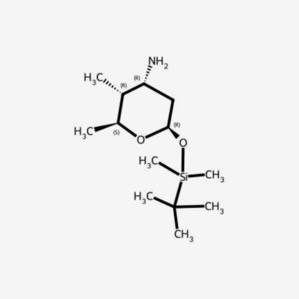 C[C@@H]1[C@H](N)C[C@@H](O[Si](C)(C)C(C)(C)C)O[C@H]1C